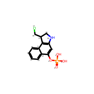 O=P(O)(O)Oc1cc2c(c3ccccc13)C(CCl)CN2